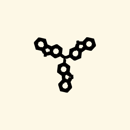 c1ccc2c(c1)sc1cc(P(c3ccc4c(c3)sc3ccccc34)c3ccc4c(c3)sc3ccccc34)ccc12